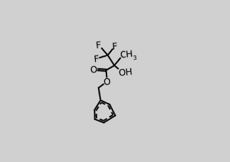 CC(O)(C(=O)OCc1ccccc1)C(F)(F)F